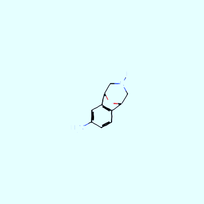 CCN1CC2OC(C1)c1cc(N)ccc12